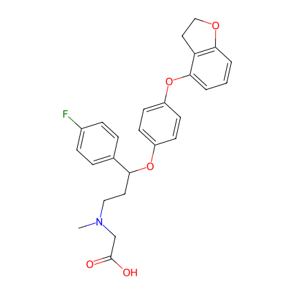 CN(CCC(Oc1ccc(Oc2cccc3c2CCO3)cc1)c1ccc(F)cc1)CC(=O)O